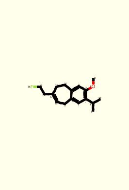 COc1cc2c(cc1C(C)C)CC=C(CCF)CC2